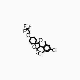 Cc1cc(Cl)cc(Cl)c1C1C(=O)OC2(CCC(OCC(F)(F)F)CC2)C1=O